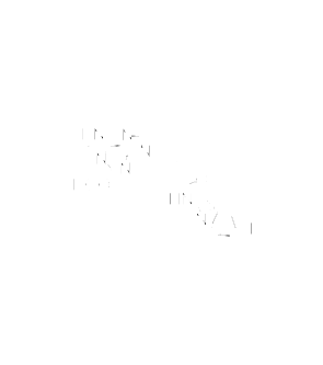 COc1nc(N)c2ncn([C@H]3CC[C@@H](C(=O)Nc4nc5ccc(F)cc5s4)CC3)c2n1